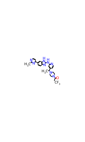 Cc1nccc(-c2ccc3nc(Nc4cc(C(C)N5CCN(C(=O)CC(F)(F)F)CC5)ccn4)[nH]c3c2)n1